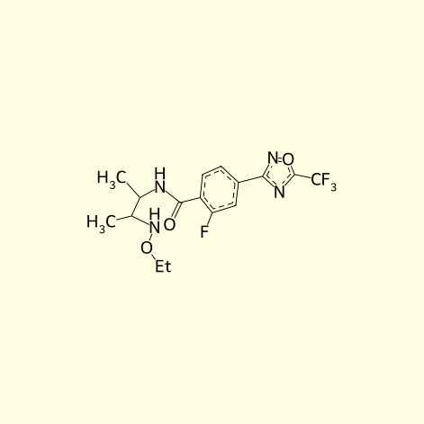 CCONC(C)C(C)NC(=O)c1ccc(-c2noc(C(F)(F)F)n2)cc1F